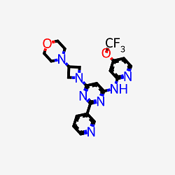 FC(F)(F)Oc1ccnc(Nc2cc(N3CC(N4CCOCC4)C3)nc(-c3cccnc3)n2)c1